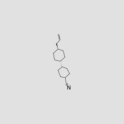 C=CC[C@H]1CC[C@H](C2CCC(C#N)CC2)CC1